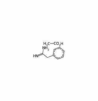 CC(=O)O.N=C(N)Cc1ccccc1